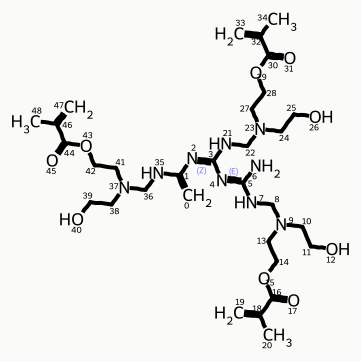 C=C(/N=C(\N=C(/N)NCN(CCO)CCOC(=O)C(=C)C)NCN(CCO)CCOC(=O)C(=C)C)NCN(CCO)CCOC(=O)C(=C)C